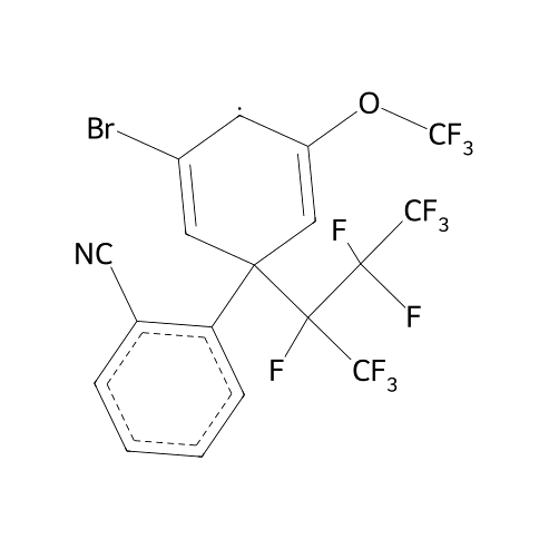 N#Cc1ccccc1C1(C(F)(C(F)(F)F)C(F)(F)C(F)(F)F)C=C(Br)[CH]C(OC(F)(F)F)=C1